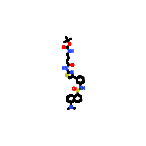 CN(C)c1cccc2c([S+]([O-])Nc3cccc(-c4csc(NC(=O)CCCNC(=O)OC(C)(C)C)n4)c3)cccc12